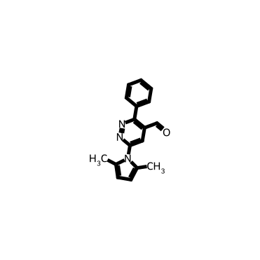 Cc1ccc(C)n1-c1cc(C=O)c(-c2ccccc2)nn1